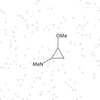 CNC1CC1OC